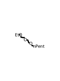 [CH2]COCCOCCOCCCCCC